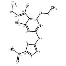 CCOc1nc(Sc2ncc(C(=O)O)s2)nc2[nH]c(CC)c(Br)c12